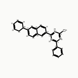 Clc1nc(-c2ccccc2)nc(-c2ccc3cc(C4C=CC=CC4)ccc3c2)n1